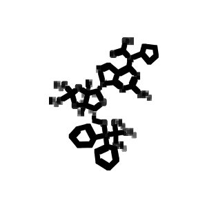 CC1(C)O[C@@H]2[C@H](O1)[C@@H](CO[Si](c1ccccc1)(c1ccccc1)C(C)(C)C)O[C@H]2n1ncc2c(N(C(=O)O)C3CCCC3)nc(N)nc21